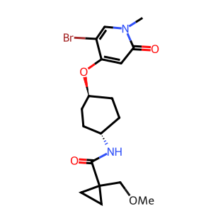 COCC1(C(=O)N[C@H]2CC[C@H](Oc3cc(=O)n(C)cc3Br)CC2)CC1